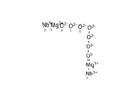 [Mg+2].[Mg+2].[Nb+5].[Nb+5].[O-2].[O-2].[O-2].[O-2].[O-2].[O-2].[O-2]